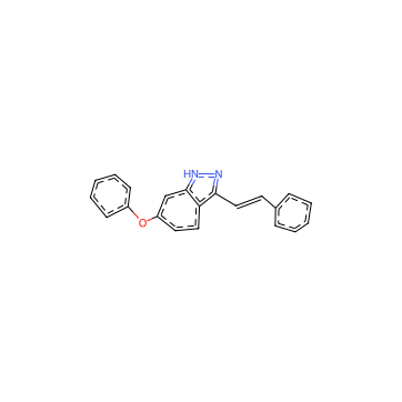 C(=Cc1n[nH]c2cc(Oc3ccccc3)ccc12)c1ccccc1